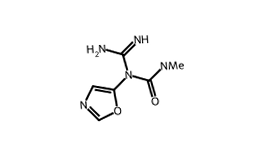 CNC(=O)N(C(=N)N)c1cnco1